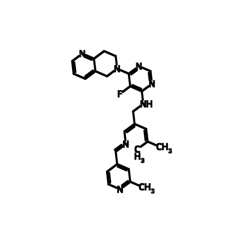 CC(C)=C/C(=C\N=C\c1ccnc(C)c1)CNc1ncnc(N2CCc3ncccc3C2)c1F